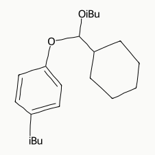 CCC(C)c1ccc(OC(OCC(C)C)C2CCCCC2)cc1